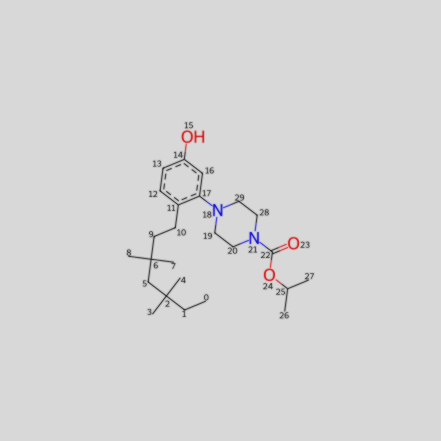 CCC(C)(C)CC(C)(C)CCc1ccc(O)cc1N1CCN(C(=O)OC(C)C)CC1